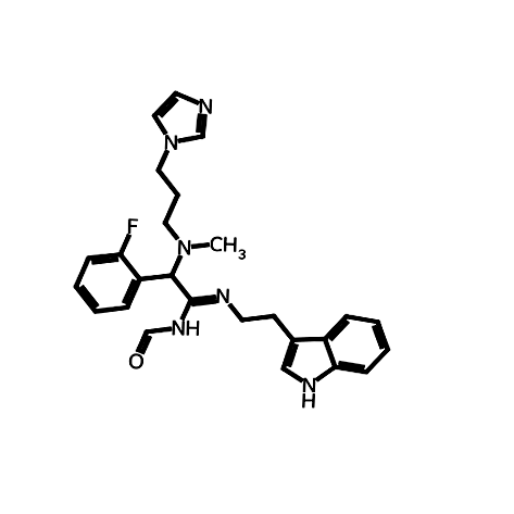 CN(CCCn1ccnc1)C(/C(=N/CCc1c[nH]c2ccccc12)NC=O)c1ccccc1F